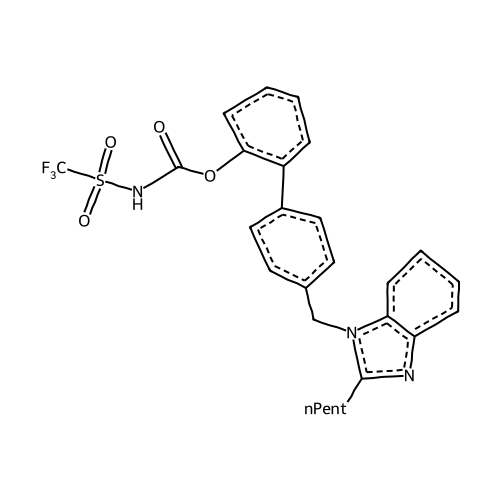 CCCCCc1nc2ccccc2n1Cc1ccc(-c2ccccc2OC(=O)NS(=O)(=O)C(F)(F)F)cc1